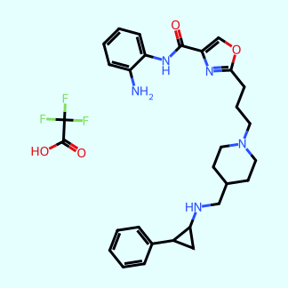 Nc1ccccc1NC(=O)c1coc(CCCN2CCC(CNC3CC3c3ccccc3)CC2)n1.O=C(O)C(F)(F)F